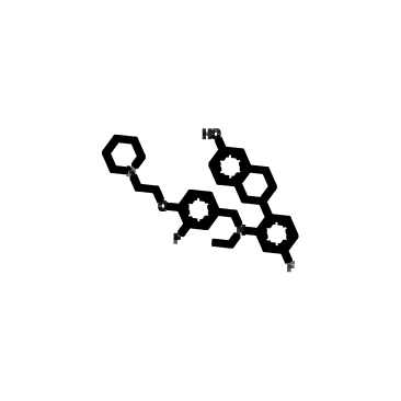 CCN(Cc1ccc(OCCN2CCCCC2)c(F)c1)c1cc(F)ccc1C1CCc2cc(O)ccc2C1